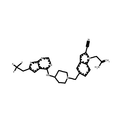 C=C(N)Cn1c(C#N)cc2cc(CN3CCC(Nc4ncnc5sc(CC(F)(F)F)cc45)CC3)ccc21